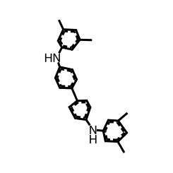 Cc1cc(C)cc(Nc2ccc(-c3ccc(Nc4cc(C)cc(C)c4)cc3)cc2)c1